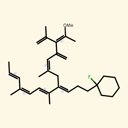 C=C(C)/C(C(=C)/C=C(/C)CC(=C\CCC1(F)CCCCC1)/C(C)=C/C=C(C)\C=C\C)=C(/C)OC